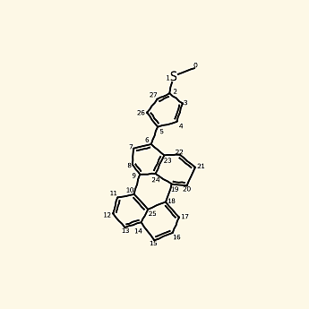 CSc1ccc(-c2ccc3c4cccc5cccc(c6cccc2c63)c54)cc1